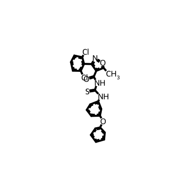 Cc1onc(-c2c(Cl)cccc2Cl)c1C(=O)NC(=S)Nc1cccc(Oc2ccccc2)c1